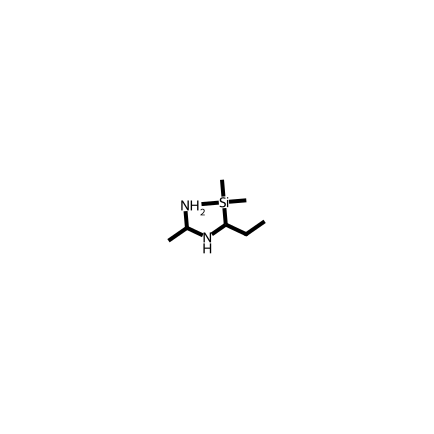 CCC(NC(C)N)[Si](C)(C)C